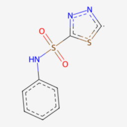 O=S(=O)(Nc1ccccc1)c1nn[c]s1